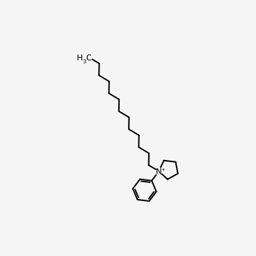 CCCCCCCCCCCCC[N+]1(c2ccccc2)CCCC1